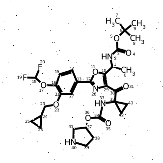 C[C@H](NC(=O)OC(C)(C)C)c1oc(-c2ccc(OC(F)F)c(OCC3CC3)c2)nc1C(=O)C1(NC(=O)O[C@@H]2CCNC2)CC1